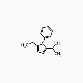 CCc1ccc(C(C)C)n1-c1ccccc1